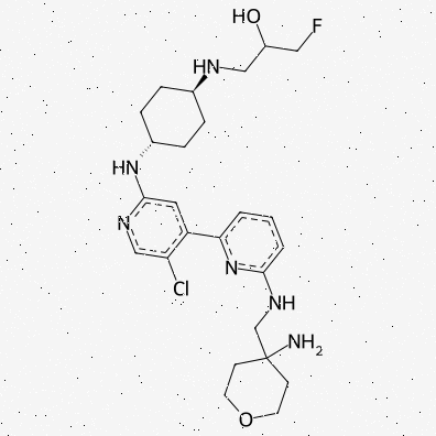 NC1(CNc2cccc(-c3cc(N[C@H]4CC[C@H](NCC(O)CF)CC4)ncc3Cl)n2)CCOCC1